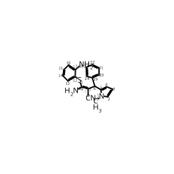 Cn1cccc1C(/C(C#N)=C(/N)Sc1ccccc1N)c1ccccc1